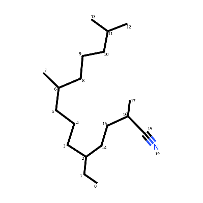 CCC(CCCC(C)CCCC(C)C)CCC(C)C#N